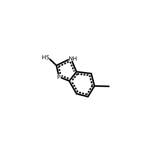 Cc1ccc2pc(S)[nH]c2c1